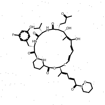 CC(=O)CC[C@H]1C(=O)N[C@@H](C(C)C)C(=O)N[C@@H](Cc2cc(O)cc(F)c2)C(=O)N2CCCC(N2)C(=O)O[C@H](/C(C)=C/C=C/C(=O)N2CCCCO2)C/C=C/C=C/C(O)=C(\C)[C@H]1O